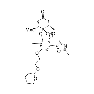 COC1=CC(=O)C[C@@H](C)[C@]1(C=O)Oc1c(C)c(OCCOC2CCCCO2)cc(-c2nnc(C)o2)c1Cl